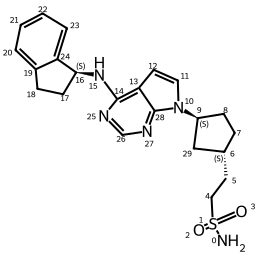 NS(=O)(=O)CC[C@H]1CC[C@H](n2ccc3c(N[C@H]4CCc5ccccc54)ncnc32)C1